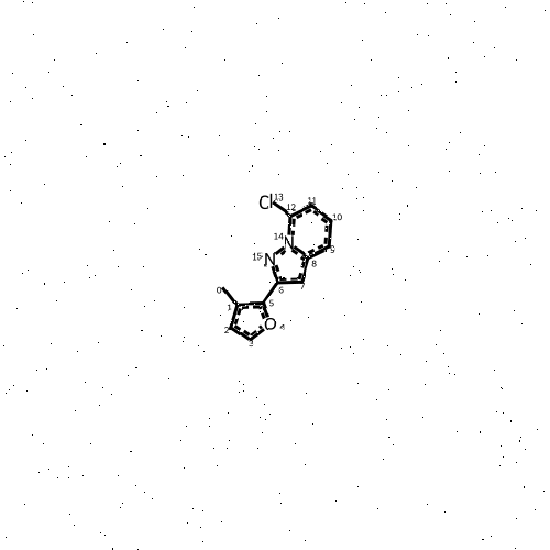 Cc1ccoc1-c1cc2cccc(Cl)n2n1